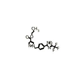 CCCOC(=O)c1cnn(Cc2ccc(-c3noc(C(F)(F)F)n3)cc2)c1